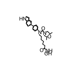 CC1CN(C(=O)N(CCCCCCC(=O)NO)c2ccc(-c3ccc4[nH]ccc4c3)cc2)CC(C)O1